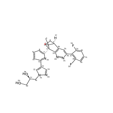 CC1(C)[C@H]2CC[C@]1(c1cccc(-c3cnn(C[C@H](O)CO)c3)n1)c1nnc(-c3c(F)cccc3F)cc12